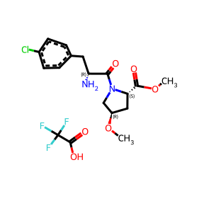 COC(=O)[C@@H]1C[C@@H](OC)CN1C(=O)[C@H](N)Cc1ccc(Cl)cc1.O=C(O)C(F)(F)F